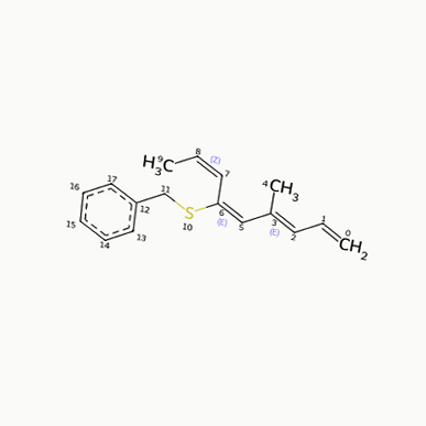 C=C/C=C(C)/C=C(\C=C/C)SCc1ccccc1